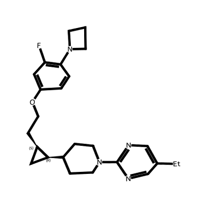 CCc1cnc(N2CCC([C@H]3C[C@H]3CCOc3ccc(N4CCC4)c(F)c3)CC2)nc1